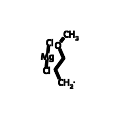 [CH2]CCOC.[Cl][Mg][Cl]